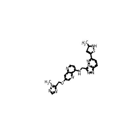 CC1C=C(c2ccc3nnc(CNc4ccnc5cc(OCc6ncnn6C)cnc45)n3n2)SN1